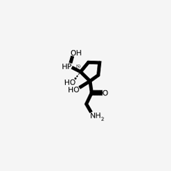 NCC(=O)C1(O)CCC[C@]1(O)PO